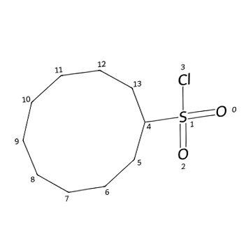 O=S(=O)(Cl)C1CCCCCCCCC1